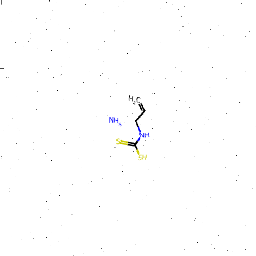 C=CCNC(=S)S.N